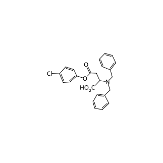 O=C(CC(C(=O)O)N(Cc1ccccc1)Cc1ccccc1)Oc1ccc(Cl)cc1